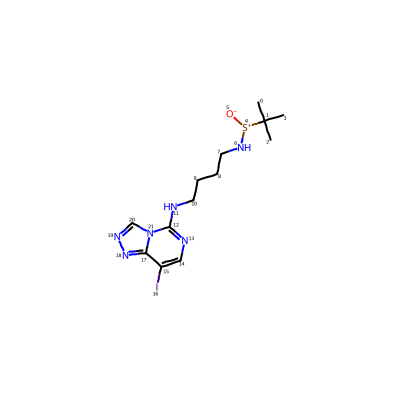 CC(C)(C)[S+]([O-])NCCCCNc1ncc(I)c2nncn12